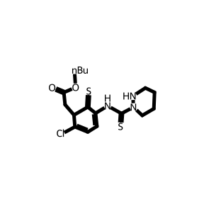 CCCCOC(=O)CC1C(=S)C(NC(=S)N2CCCCN2)=CC=C1Cl